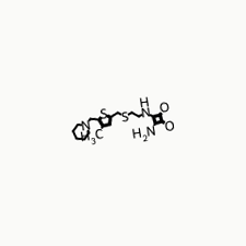 Cc1cc(CSCCNc2c(N)c(=O)c2=O)sc1CN1CCCCC1